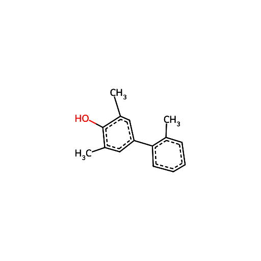 Cc1ccccc1-c1cc(C)c(O)c(C)c1